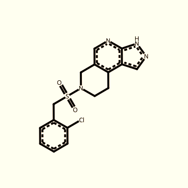 O=S(=O)(Cc1ccccc1Cl)N1CCc2c(cnc3[nH]ncc23)C1